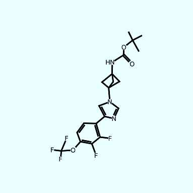 CC(C)(C)OC(=O)NC12CC(n3cnc(-c4ccc(OC(F)(F)F)c(F)c4F)c3)(C1)C2